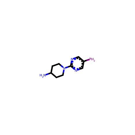 NC1CCN(c2ncc(P)cn2)CC1